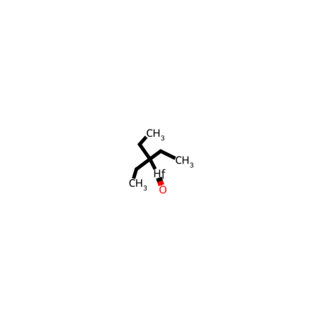 CC[C](CC)(CC)[Hf]=[O]